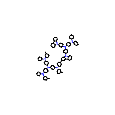 Cc1cccc(N(c2ccccc2)c2ccc(N(c3ccc(N(c4ccccc4)c4cccc(C)c4)cc3)c3ccc(N(c4ccc(-c5ccc6c(c5)c5ccccc5n6-c5ccc(N(c6ccc(N(c7ccccc7)c7ccccc7)cc6)c6ccc(-n7c8ccccc8c8ccccc87)cc6)cc5)cc4)c4cccc(C)c4)cc3)cc2)c1